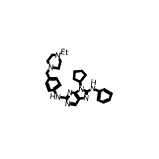 CCN1CCN(Cc2ccc(Nc3ncc4nc(Nc5ccccc5)n(C5CCCC5)c4n3)cc2)CC1